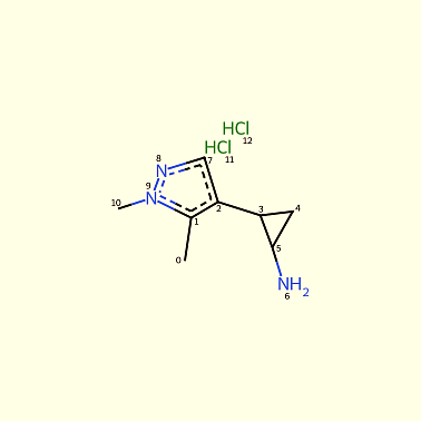 Cc1c(C2CC2N)cnn1C.Cl.Cl